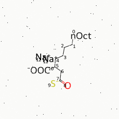 CCCCCCCCCCCCC(CC(=O)[S-])C(=O)[O-].[Na+].[Na+]